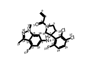 C=CC(=O)N1CC[C@@](Nc2cc(F)c3c(C)nn(C)c3c2)(c2c(F)ccc(Cl)c2Cl)C1